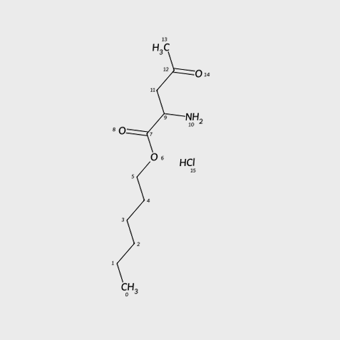 CCCCCCOC(=O)C(N)CC(C)=O.Cl